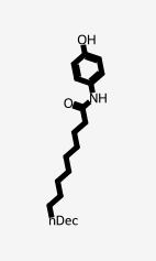 CCCCCCCCCCCCCCCCCCC(=O)Nc1ccc(O)cc1